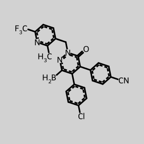 Bc1nn(Cc2ccc(C(F)(F)F)nc2C)c(=O)c(-c2ccc(C#N)cc2)c1-c1ccc(Cl)cc1